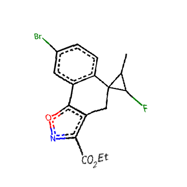 CCOC(=O)c1noc2c1CC1(c3ccc(Br)cc3-2)C(C)C1F